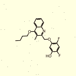 CCCCOc1c(C)c(COc2cc(O)c(F)cc2F)nc2ccccc12